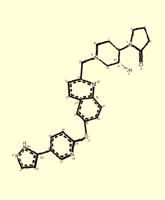 O=C1CCCN1C1CCN(Cc2ccc3cc(Oc4ccc(-c5ccn[nH]5)cn4)ccc3n2)C[C@H]1O